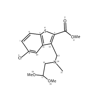 COC(=O)c1sc2ccc(Cl)cc2c1CN(C)CC(OC)OC